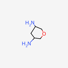 NC1COCC(N)C1